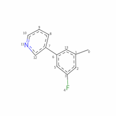 Cc1cc(F)cc(-c2cccnc2)c1